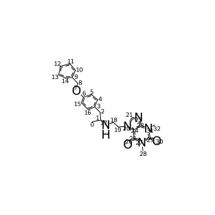 CC(Cc1ccc(OCc2ccccc2)cc1)NCCn1cnc2c1c(=O)n(C)c(=O)n2C